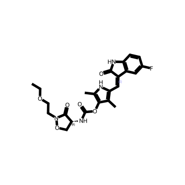 CCOCCN1OC[C@@H](NC(=O)Oc2c(C)[nH]c(/C=C3\C(=O)Nc4ccc(F)cc43)c2C)C1=O